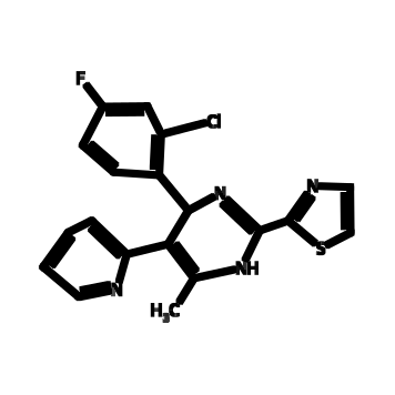 CC1=C(c2ccccn2)C(c2ccc(F)cc2Cl)N=C(c2nccs2)N1